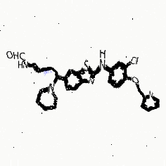 O=CNC/C=C/C(c1ccc2nc(Nc3ccc(OCc4ccccn4)c(Cl)c3)sc2c1)N1CCCCC1